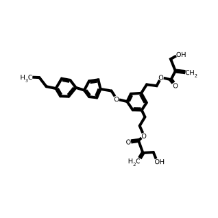 C=C(CO)C(=O)OCCc1cc(CCOC(=O)C(=C)CO)cc(OCc2ccc(-c3ccc(CCC)cc3)cc2)c1